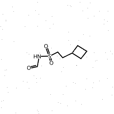 O=CNS(=O)(=O)CCC1CCC1